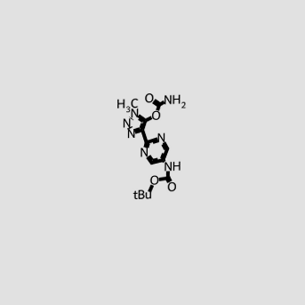 Cn1nnc(-c2ncc(NC(=O)OC(C)(C)C)cn2)c1OC(N)=O